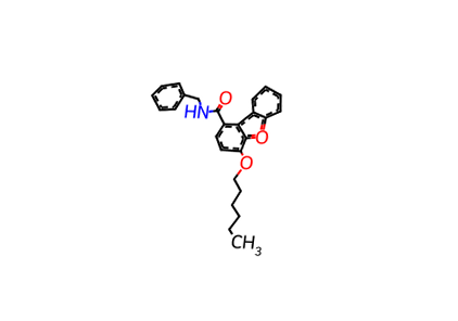 CCCCCCOc1ccc(C(=O)NCc2ccccc2)c2c1oc1ccccc12